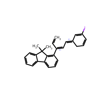 C=C/C(=C\C=C1\C=C(I)C=CC1)c1cccc2c1C(C)(C)c1ccccc1-2